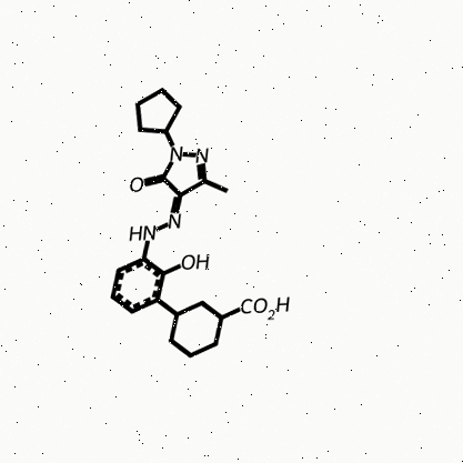 CC1=NN(C2CCCC2)C(=O)C1=NNc1cccc(C2CCCC(C(=O)O)C2)c1O